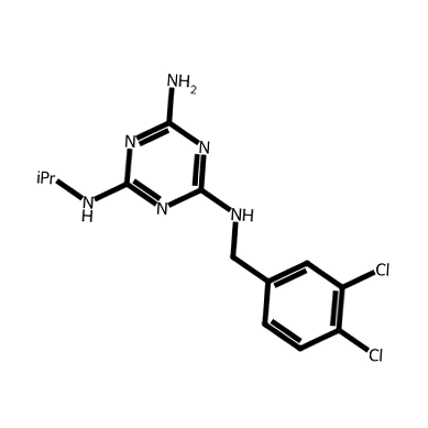 CC(C)Nc1nc(N)nc(NCc2ccc(Cl)c(Cl)c2)n1